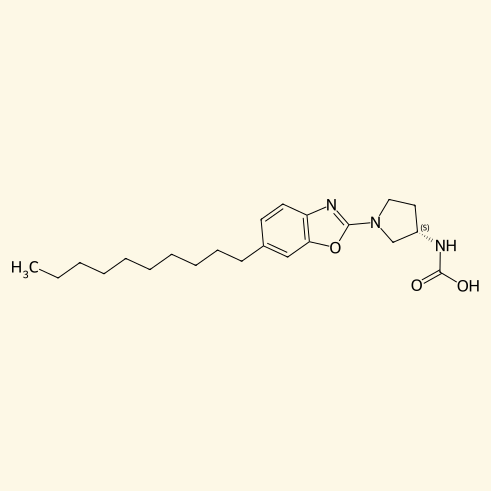 CCCCCCCCCCc1ccc2nc(N3CC[C@H](NC(=O)O)C3)oc2c1